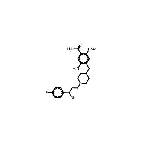 COc1cc(CC2CCN(CCC(O)c3ccc(F)cc3)CC2)c(N)cc1C(N)=O